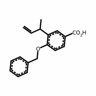 C=CC(C)c1cc(C(=O)O)ccc1OCc1ccccc1